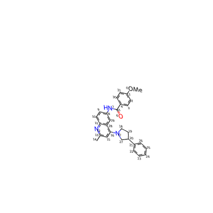 COc1ccc(C(=O)Nc2ccc3nc(C)cc(N4CCC(c5ccccc5)C4)c3c2)cc1